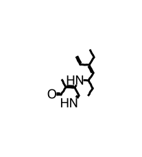 C=C/C(=C\C(CC)N/C(C=N)=C(\C)C=O)CC